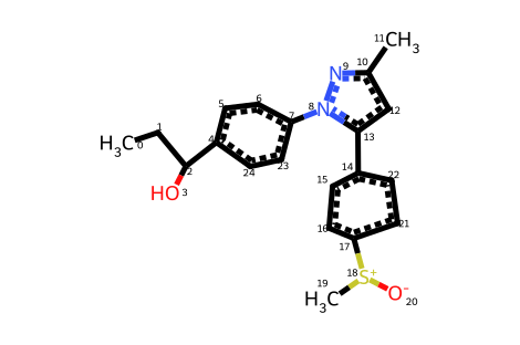 CCC(O)c1ccc(-n2nc(C)cc2-c2ccc([S+](C)[O-])cc2)cc1